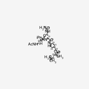 CC(=O)NCCN[C@@H](C(=O)N[C@H](CCCNC(N)=O)C(=O)Nc1ccc(COC(=O)N(C)CCN(C)C)cc1)C(C)C